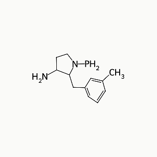 Cc1cccc(CC2C(N)CCN2P)c1